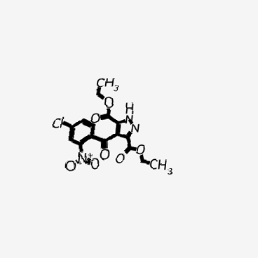 CCOC(=O)c1n[nH]c(C(=O)OCC)c1C(=O)c1ccc(Cl)cc1[N+](=O)[O-]